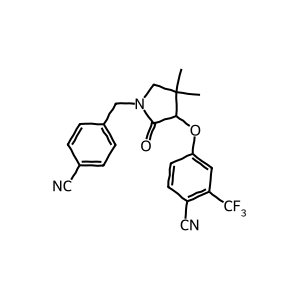 CC1(C)CN(Cc2ccc(C#N)cc2)C(=O)C1Oc1ccc(C#N)c(C(F)(F)F)c1